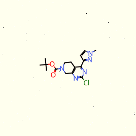 Cn1ccc(-c2nc(Cl)nc3c2CCN(C(=O)OC(C)(C)C)C3)n1